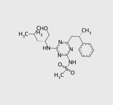 CC(C)C[C@H](CO)Nc1nc(C[C@H](C)c2ccccc2)nc(NS(C)(=O)=O)n1